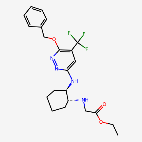 CCOC(=O)CN[C@@H]1CCCC[C@H]1Nc1cc(C(F)(F)F)c(OCc2ccccc2)nn1